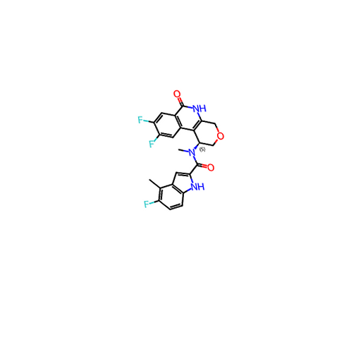 Cc1c(F)ccc2[nH]c(C(=O)N(C)[C@@H]3COCc4[nH]c(=O)c5cc(F)c(F)cc5c43)cc12